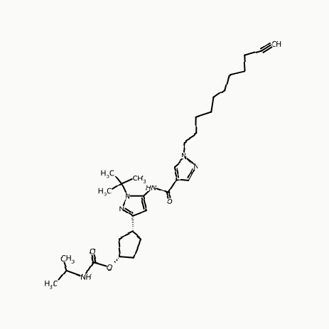 C#CCCCCCCCCCn1cc(C(=O)Nc2cc([C@@H]3CC[C@H](OC(=O)NC(C)C)C3)nn2C(C)(C)C)cn1